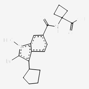 Cn1c(Br)c(C2CCCC2)c2ccc(C(=O)NC3(C(=O)O)CCC3)cc21